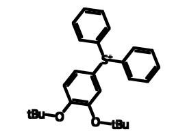 CC(C)(C)Oc1ccc([S+](c2ccccc2)c2ccccc2)cc1OC(C)(C)C